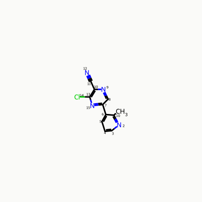 Cc1ncccc1-c1cnc(C#N)c(Cl)n1